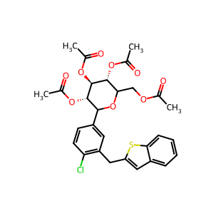 CC(=O)OCC1OC(c2ccc(Cl)c(Cc3cc4ccccc4s3)c2)[C@H](OC(C)=O)[C@@H](OC(C)=O)[C@@H]1OC(C)=O